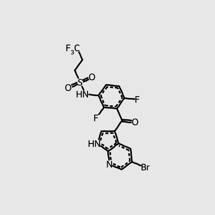 O=C(c1c(F)ccc(NS(=O)(=O)CCC(F)(F)F)c1F)c1c[nH]c2ncc(Br)cc12